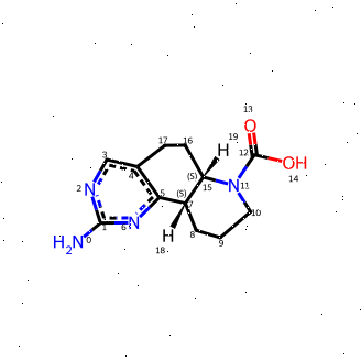 Nc1ncc2c(n1)[C@H]1CCCN(C(=O)O)[C@H]1CC2